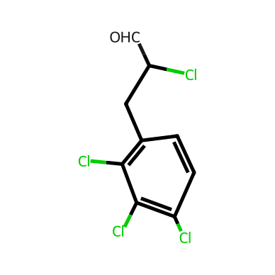 O=CC(Cl)Cc1ccc(Cl)c(Cl)c1Cl